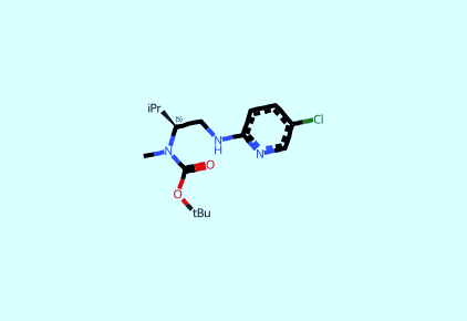 CC(C)[C@@H](CNc1ccc(Cl)cn1)N(C)C(=O)OC(C)(C)C